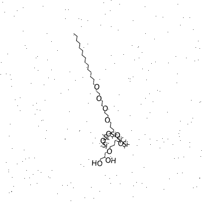 CCCCCCCCCCCCCCCOCCOCCOCCOCCC[Si](C)(O[Si](C)(C)O[Si](C)(C)C)O[Si](C)(CCCOCC(O)CO)O[Si](C)(C)C